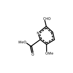 COC(=O)c1nc(C=O)ccc1OC